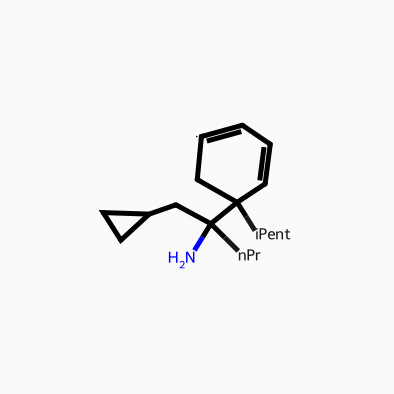 CCCC(C)C1(C(N)(CCC)CC2CC2)C=CC=[C]C1